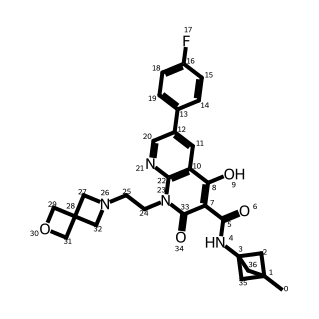 CC12CC(NC(=O)c3c(O)c4cc(-c5ccc(F)cc5)cnc4n(CCN4CC5(COC5)C4)c3=O)(C1)C2